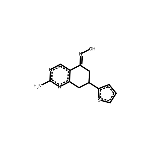 Nc1ncc2c(n1)CC(c1cccs1)CC2=NO